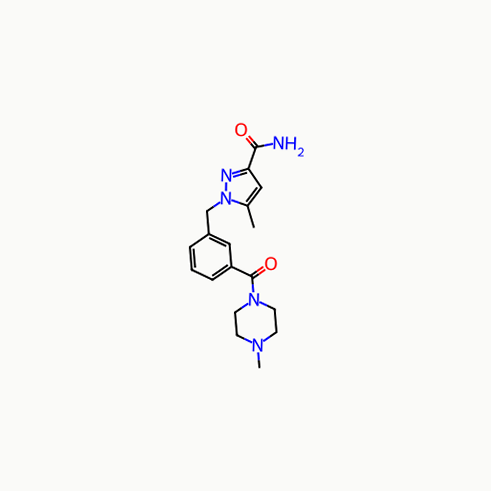 Cc1cc(C(N)=O)nn1Cc1cccc(C(=O)N2CCN(C)CC2)c1